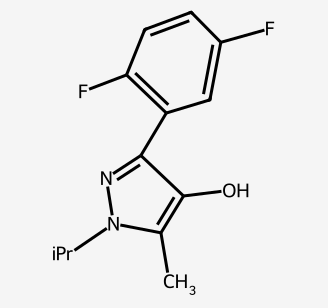 Cc1c(O)c(-c2cc(F)ccc2F)nn1C(C)C